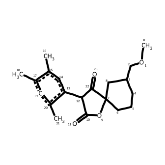 COCC1CCCC2(C1)OC(=O)C(c1cc(C)c(C)cc1C)C2=O